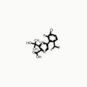 CC(C)(O)c1nc(-c2c(C(F)F)ccc(Cl)c2F)cnc1C(=O)O